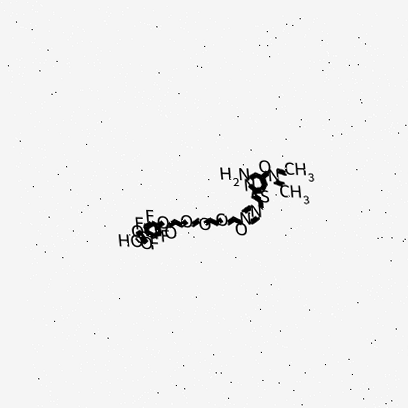 CCCN(CCC)C(=O)C1=Cc2sc(CN3CCN(C(=O)CCOCCOCCOCCC(=O)Oc4c(F)c(F)c(S(=O)(=O)O)c(F)c4F)CC3)cc2N=C(N)C1